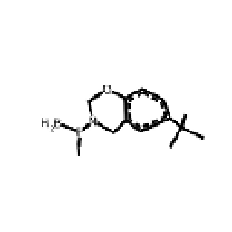 BP(I)N1COc2ccc(C(C)(C)C)cc2C1